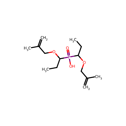 C=C(C)COC(CC)P(=O)(O)C(CC)OCC(=C)C